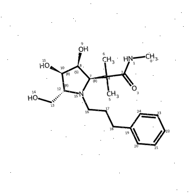 CNC(=O)C(C)(C)[C@@H]1[C@H](O)[C@H](O)[C@@H](CO)N1CCCc1ccccc1